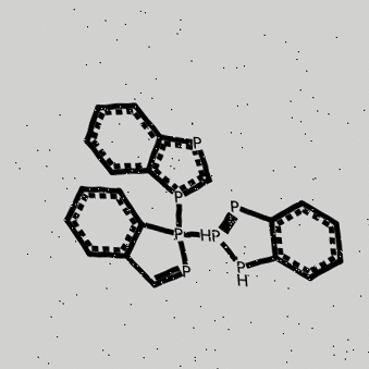 C1=P[P](p2cpc3ccccc32)([PH]2=Pc3ccccc3P2)c2ccccc21